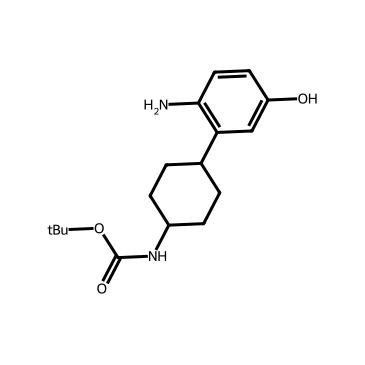 CC(C)(C)OC(=O)NC1CCC(c2cc(O)ccc2N)CC1